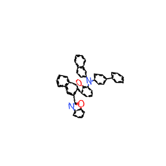 c1ccc(-c2ccc(N(c3ccc4ccccc4c3)c3cccc4c3oc3c5ccccc5cc(-c5nc6ccccc6o5)c43)cc2)cc1